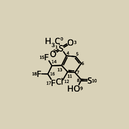 CS(=O)(=O)c1ccc(C(O)=S)c(Cl)c1C(F)C(F)F